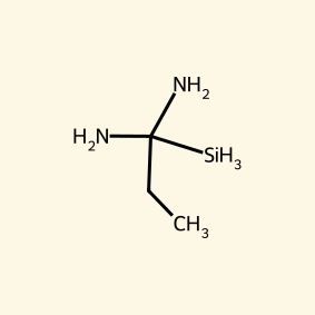 CCC(N)(N)[SiH3]